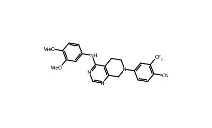 COc1ccc(Nc2ncnc3c2CCN(c2ccc(C#N)c(C(F)(F)F)c2)C3)cc1OC